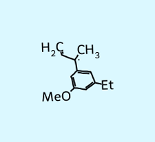 C=C[C](C)c1cc(CC)cc(OC)c1